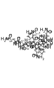 NC(=O)CC[C@H](NC(=O)[C@H](CCC(N)=O)NC(=O)[C@H](CO)NC(=O)[C@@H]1CCCN1C(=O)[C@H](CCC(N)=O)NC(=O)[C@H](Cc1ccccc1)NC(=O)[C@H](CO)NC(=O)CNC(=O)[C@@H](N)CCC(N)=O)C(=O)O